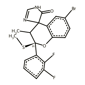 CS[C@]1(c2cccc(F)c2F)Oc2ccc(Br)cc2C2(N=CNC2=O)C1C